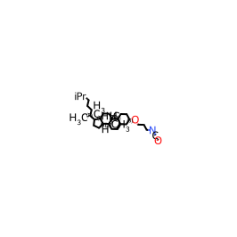 CC(C)CCC[C@@H](C)C1CC[C@H]2[C@]3(C)CC=C4C[C@@H](OCCCN=C=O)CC[C@]4(C)[C@H]3CC[C@]12C